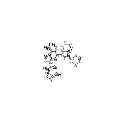 CNc1cc(-c2cn([C@H]3CCCOC3)c3ncccc23)nc2c(C(=O)N[C@@H]3CC[C@@H]3O)cnn12